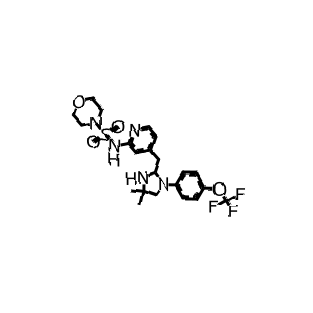 CC1(C)CN(c2ccc(OC(F)(F)F)cc2)C(Cc2ccnc(NS(=O)(=O)N3CCOCC3)c2)N1